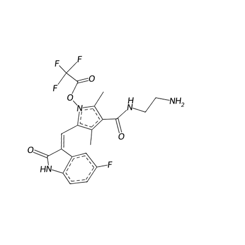 Cc1c(C(=O)NCCN)c(C)n(OC(=O)C(F)(F)F)c1C=C1C(=O)Nc2ccc(F)cc21